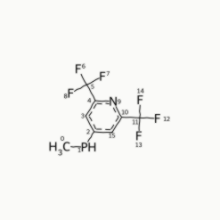 CPc1cc(C(F)(F)F)nc(C(F)(F)F)c1